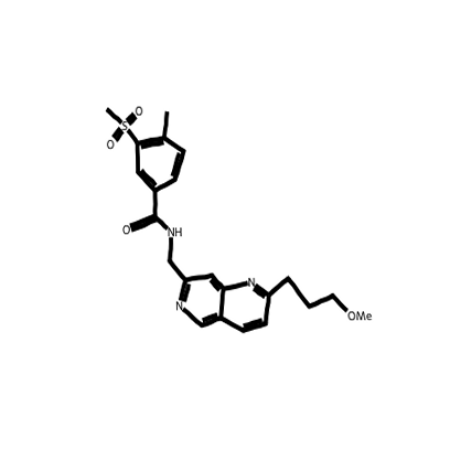 COCCCc1ccc2cnc(CNC(=O)c3ccc(C)c(S(C)(=O)=O)c3)cc2n1